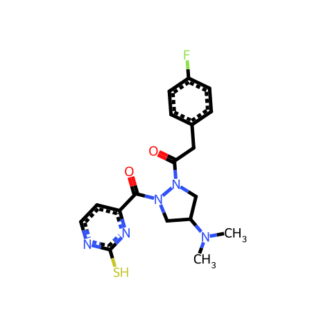 CN(C)C1CN(C(=O)Cc2ccc(F)cc2)N(C(=O)c2ccnc(S)n2)C1